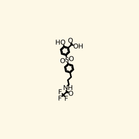 O=C(O)c1cc(S(=O)(=O)c2ccc(CCCNC(=O)C(F)(F)F)cc2)ccc1O